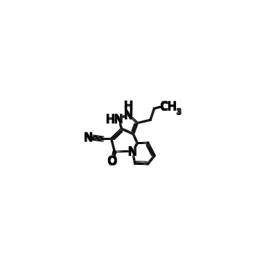 CCCC1=C2C(=C(C#N)C(=O)N3C=CC=CC23)NN1